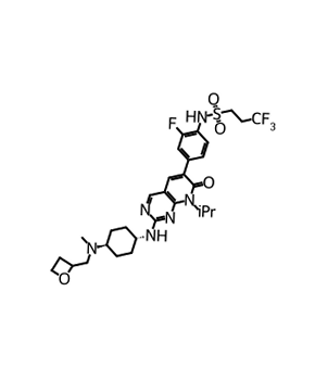 CC(C)n1c(=O)c(-c2ccc(NS(=O)(=O)CCC(F)(F)F)c(F)c2)cc2cnc(N[C@H]3CC[C@H](N(C)CC4CCO4)CC3)nc21